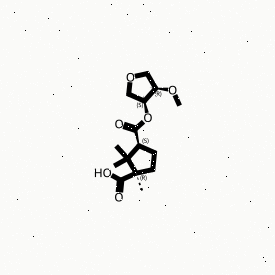 CO[C@@H]1COC[C@@H]1OC(=O)[C@H]1CC[C@@](C)(C(=O)O)C1(C)C